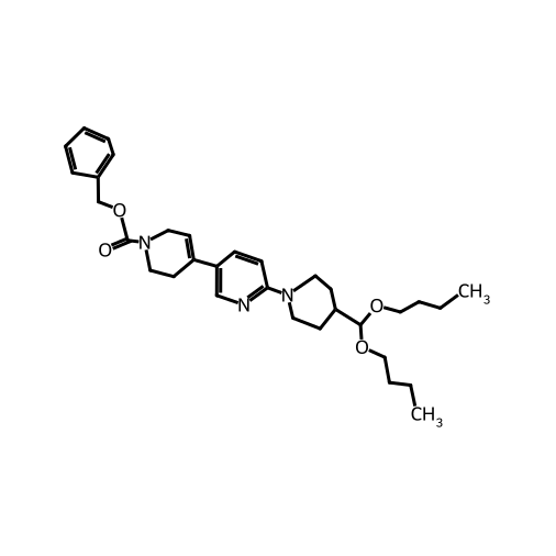 CCCCOC(OCCCC)C1CCN(c2ccc(C3=CCN(C(=O)OCc4ccccc4)CC3)cn2)CC1